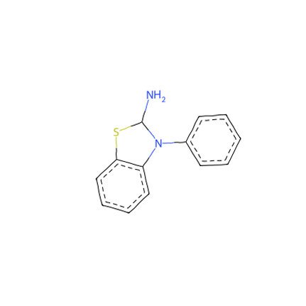 NC1Sc2ccccc2N1c1ccccc1